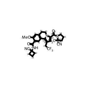 COc1cc2c(cc1C(=O)NC1(C#N)CCC1)-c1c(CC(F)(F)F)cc(C(=O)N3CCC[C@]3(C)C#N)n1CC2